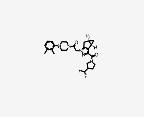 Cc1cccc(N2CCN(C(=O)Cn3nc(C(=O)N4CCC(C(F)F)C4)c4c3C[C@H]3C[C@@H]43)CC2)c1C